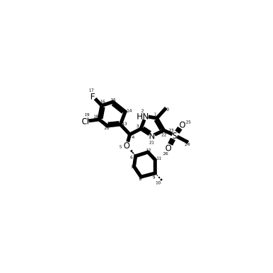 Cc1[nH]c(C(O[C@H]2CC[C@@H](C)CC2)c2ccc(F)c(Cl)c2)nc1S(C)(=O)=O